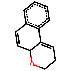 C1=CC2OCCC=C2c2ccccc21